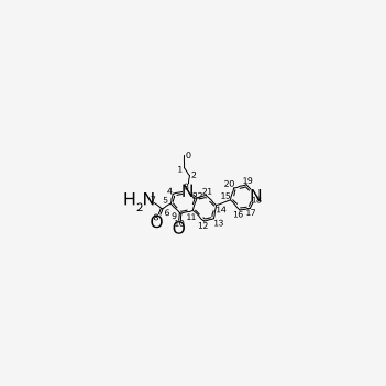 CCCn1cc(C(N)=O)c(=O)c2ccc(-c3ccncc3)cc21